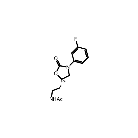 CC(=O)NCC[C@H]1CN(c2cccc(F)c2)C(=O)O1